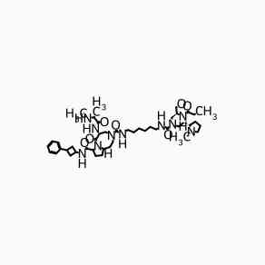 CCC(=O)N[C@H](C=O)CN(CC[C@@H]1CCCN1C)C(=O)NCCCCCCNC(=O)N1CC[C@H]2CCC(C(=O)NC3CC(c4ccccc4)C3)N2C(=O)C(NC(=O)C(C)NC)C1